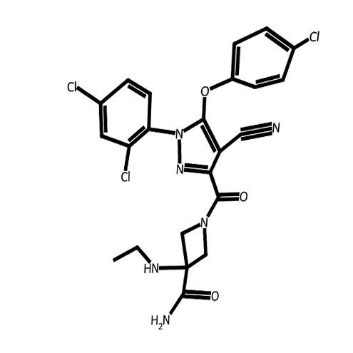 CCNC1(C(N)=O)CN(C(=O)c2nn(-c3ccc(Cl)cc3Cl)c(Oc3ccc(Cl)cc3)c2C#N)C1